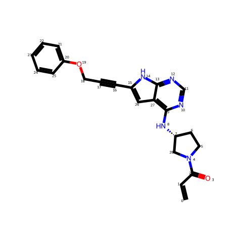 C=CC(=O)N1CC[C@@H](Nc2ncnc3[nH]c(C#CCOc4ccccc4)cc23)C1